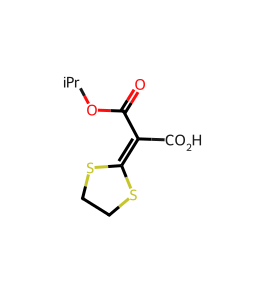 CC(C)OC(=O)C(C(=O)O)=C1SCCS1